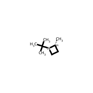 C[C@@H]1CCN1C(C)(C)C